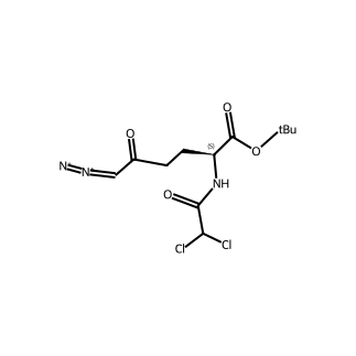 CC(C)(C)OC(=O)[C@H](CCC(=O)C=[N+]=[N-])NC(=O)C(Cl)Cl